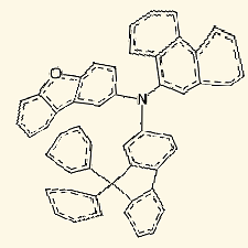 c1ccc(C2(c3ccccc3)c3ccccc3-c3ccc(N(c4ccc5oc6ccccc6c5c4)c4cc5ccccc5c5ccccc45)cc32)cc1